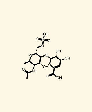 CC(=O)N[C@H]1C(C)O[C@H](COS(=O)(=O)O)C(O[C@@H]2OC(C(=O)O)=C[C@H](O)[C@H]2O)[C@@H]1O